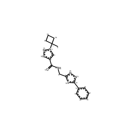 CC1(n2cc(C(=O)NCc3nnc(-c4ccccc4)s3)nn2)CCC1